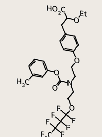 CCOC(Cc1ccc(OCCN(CCOC(F)(F)C(F)(F)C(F)(F)C(F)(F)F)C(=O)Oc2cccc(C)c2)cc1)C(=O)O